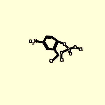 O=[N+]([O-])c1ccc(OP(=O)(OCl)OCl)c(CCl)c1